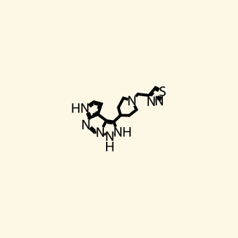 C1=Nc2[nH]ccc2C2=C(C3CCN(Cc4csnn4)CC3)NNN12